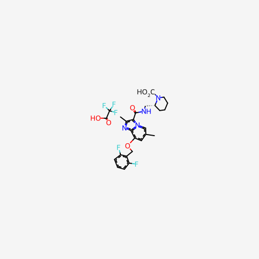 Cc1cc(OCc2c(F)cccc2F)c2nc(C)c(C(=O)NC[C@H]3CCCCN3C(=O)O)n2c1.O=C(O)C(F)(F)F